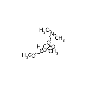 CCN(CC)CCOC(=O)C(C)(C)COCCOC